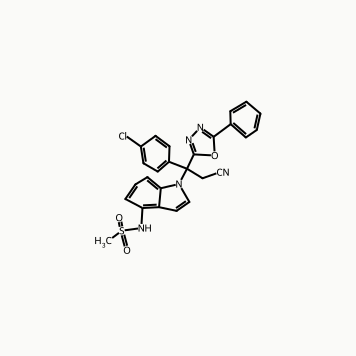 CS(=O)(=O)Nc1cccc2c1ccn2C(CC#N)(c1ccc(Cl)cc1)c1nnc(-c2ccccc2)o1